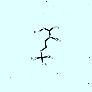 CSC(C)N(C)CCOC(C)(C)C